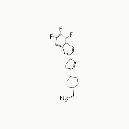 C=C[C@H]1CC[C@H](c2ccc(-c3ccc4c(F)c(F)c(F)cc4c3)cc2)CC1